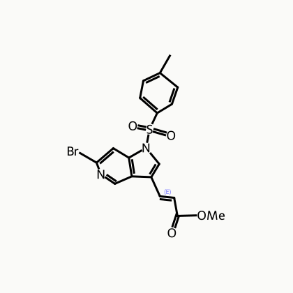 COC(=O)/C=C/c1cn(S(=O)(=O)c2ccc(C)cc2)c2cc(Br)ncc12